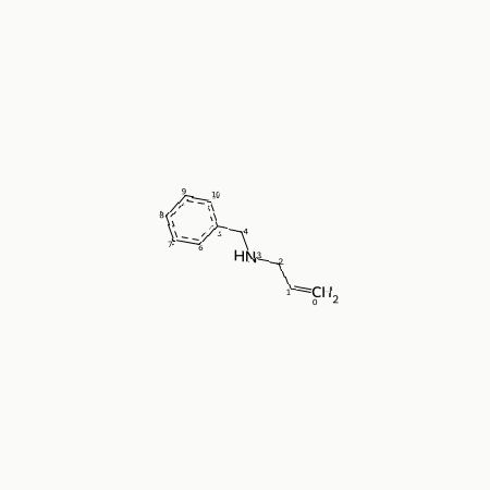 C=CCNCc1c[c]ccc1